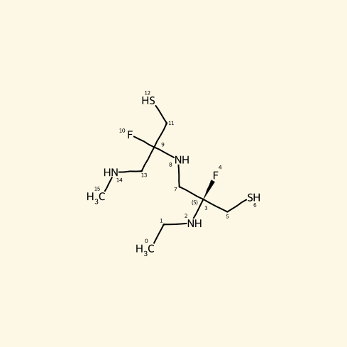 CCN[C@@](F)(CS)CNC(F)(CS)CNC